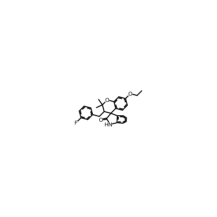 CCOc1ccc2c(c1)OC(C)(C)C(Cc1cccc(F)c1)C21C(=O)Nc2ccccc21